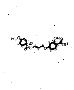 Cc1ccc(S(=O)(=O)OCCCOc2ccc(C(=O)O)c(O)c2)cc1